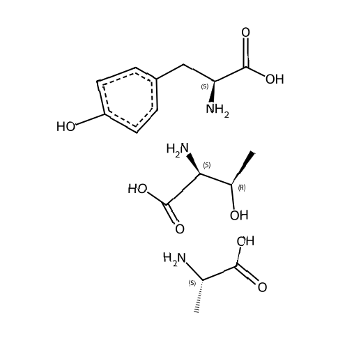 C[C@@H](O)[C@H](N)C(=O)O.C[C@H](N)C(=O)O.N[C@@H](Cc1ccc(O)cc1)C(=O)O